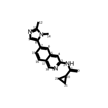 C=C(Nc1cc2cc(-c3cnc(C)n3C)ccc2cn1)C1CC1